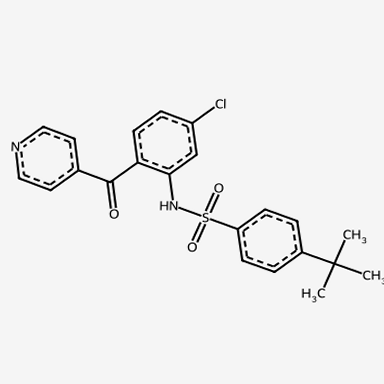 CC(C)(C)c1ccc(S(=O)(=O)Nc2cc(Cl)ccc2C(=O)c2ccncc2)cc1